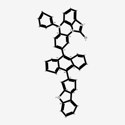 CCc1nc2cccc3c2n1-c1cc(-c2c4ccccc4c(-c4ccc5c(c4)oc4ccccc45)c4ccccc24)ccc1N3c1ccccc1